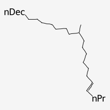 [CH2]CC/C=C/CCCCCCC(C)CCCCCCCCCCCCCCCC[CH2]